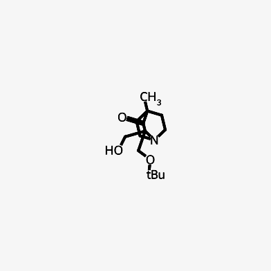 CC(C)(C)OCC1(CO)C(=O)C2(C)CCN1CC2